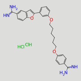 Cl.Cl.N=C(N)c1ccc(OCCCCCCOc2cccc(-c3cc4cc(C(=N)N)ccc4o3)c2)cc1